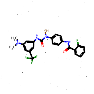 CN(C)c1cc(NC(=O)N(S)c2ccc(NC(=O)c3ccccc3F)cc2)cc(C(F)(F)F)c1